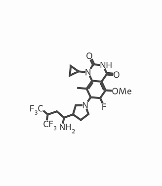 COC1=c2c(=O)[nH]c(=O)n(C3CC3)c2=C(C)C(N2CCC(C(N)CC(C(F)(F)F)C(F)(F)F)C2)C1F